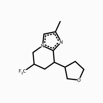 Cc1cn2c(n1)C(C1CCOC1)CC(C(F)(F)F)C2